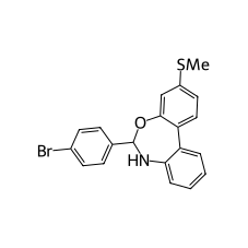 CSc1ccc2c(c1)OC(c1ccc(Br)cc1)Nc1ccccc1-2